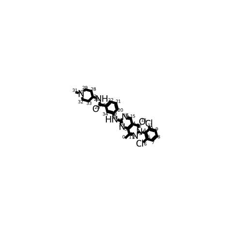 Cc1nn(-c2c(Cl)cccc2Cl)c(=O)c2cnc(Nc3cccc(C(=O)NC4CCN(C)CC4)c3)nc12